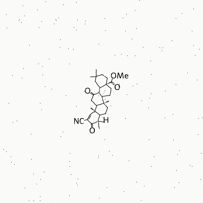 COC(=O)[C@]12CCC(C)(C)CC1C1C(=O)CC3[C@@]4(C)C=C(C#N)C(=O)C(C)(C)[C@@H]4CC[C@@]3(C)[C@]1(C)CC2